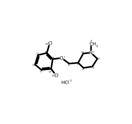 CN1CCCC(COc2c(Cl)cccc2Cl)C1.Cl